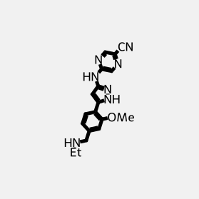 CCNCc1ccc(-c2cc(Nc3cnc(C#N)cn3)n[nH]2)c(OC)c1